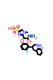 Cl.Cn1cc(S(=O)(=O)O)nc1C(Oc1ccc(F)c(C(CN)Cc2ccccc2)c1)C(N)=O